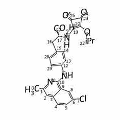 Cc1cc2ccc(Cl)cc2c(Nc2ccc(C[C@H](Nc3c(OC(C)C)c(=O)c3=O)C(=O)O)cc2)n1